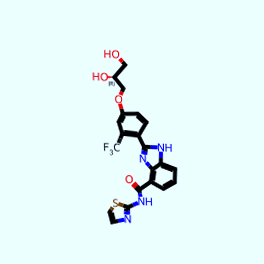 O=C(Nc1nccs1)c1cccc2[nH]c(-c3ccc(OC[C@H](O)CO)cc3C(F)(F)F)nc12